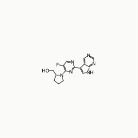 OCC1CCCN1c1nc(-c2c[nH]c3ncncc23)ncc1F